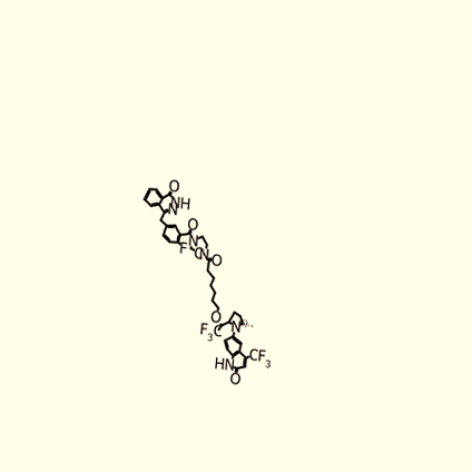 C[C@H]1CCC(C(OCCCCCCC(=O)N2CCN(C(=O)c3cc(Cc4n[nH]c(=O)c5ccccc45)ccc3F)CC2)C(F)(F)F)N1c1ccc2[nH]c(=O)cc(C(F)(F)F)c2c1